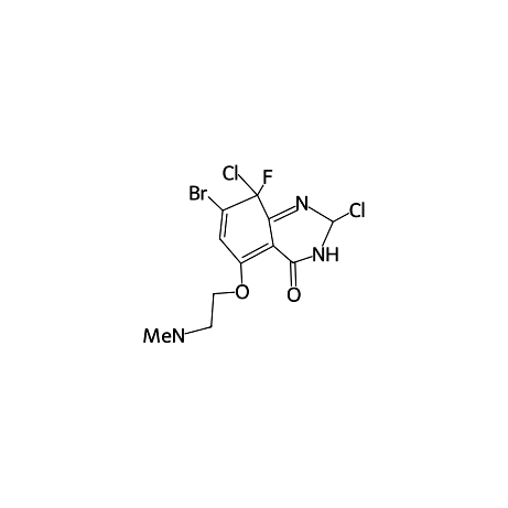 CNCCOC1=C2C(=O)NC(Cl)N=C2C(F)(Cl)C(Br)=C1